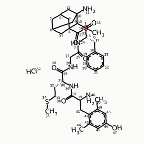 COC(=O)C12CC3CC(CC(N)(C3)C1C(=O)[C@H](Cc1ccccc1)NC(=O)CNC(=O)[C@@H](CCSC)NC(=O)C(N)Cc1c(C)cc(O)cc1C)C2.Cl